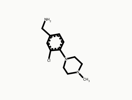 CN1CCN(c2ccc(CN)cc2Cl)CC1